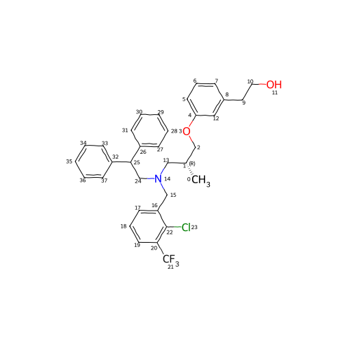 C[C@@H](COc1cccc(CCO)c1)CN(Cc1cccc(C(F)(F)F)c1Cl)CC(c1ccccc1)c1ccccc1